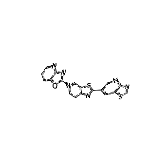 c1cnc2nc(-[n+]3ccc4nc(-c5cnc6ncsc6c5)sc4c3)oc2c1